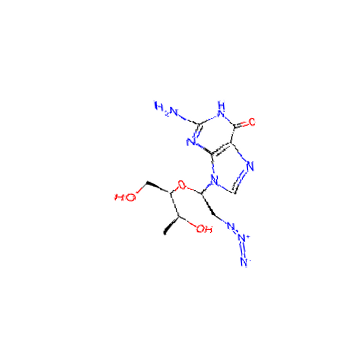 C[C@H](O)[C@@H](CO)O[C@H](CN=[N+]=[N-])n1cnc2c(=O)[nH]c(N)nc21